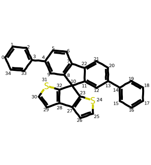 c1ccc(-c2ccc3c(c2)C2(c4cc(-c5ccccc5)ccc4-3)c3sccc3-c3ccsc32)cc1